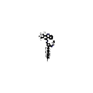 CCO/C=C\C1CC(/C=C/C(C)CC(/C=C\c2ccccc2)C(CC(=O)OC)C(=O)OC)CC1C(F)(F)C(F)(F)C(F)(F)C(F)(F)C(F)(F)C(F)(F)F